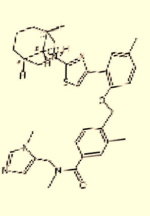 Cc1ccc(OCc2ccc(C(=O)N(C)Cc3cncn3C)cc2C)c(-c2csc(N3C[C@H]4CCC[C@@H](C3)[C@H]4C(=O)O)n2)c1